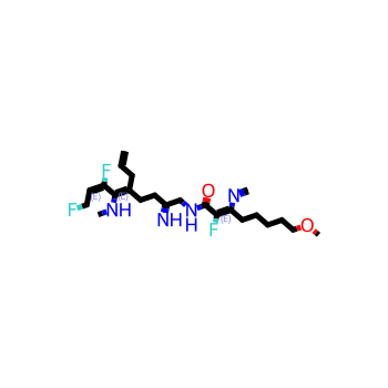 C=CC/C(CCC(=N)CNC(=O)/C(F)=C(/CCCCCOC)N=C)=C(NC)\C(F)=C/CF